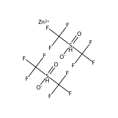 O=[SH]([O-])(C(F)(F)F)C(F)(F)F.O=[SH]([O-])(C(F)(F)F)C(F)(F)F.[Zn+2]